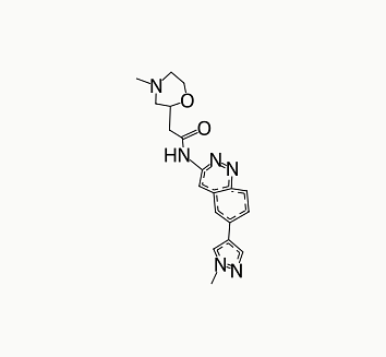 CN1CCOC(CC(=O)Nc2cc3cc(-c4cnn(C)c4)ccc3nn2)C1